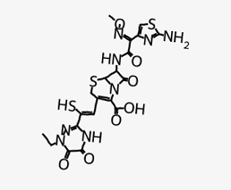 CCn1nc(C(S)=CC2=C(C(=O)O)N3C(=O)C(NC(=O)C(=NOC)c4csc(N)n4)C3SC2)[nH]c(=O)c1=O